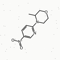 CC1COCCN1c1ccc([N+](=O)[O-])cn1